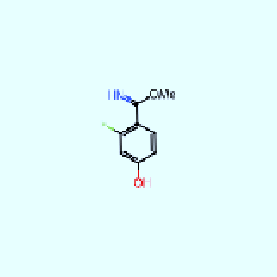 COC(=N)c1ccc(O)cc1F